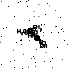 COc1ccc(OC)c(C(=O)Nc2ccc(CCC(=O)O)cc2)c1